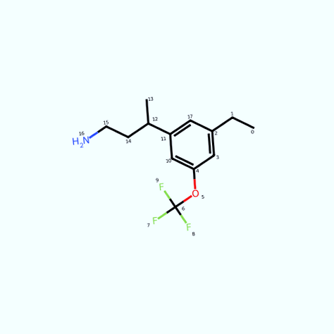 CCc1cc(OC(F)(F)F)cc(C(C)CCN)c1